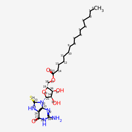 CCCCCCCCCCCCCCCC(=O)OC[C@H]1O[C@@H](n2c(=S)[nH]c3c(=O)[nH]c(N)nc32)[C@H](O)[C@@H]1O